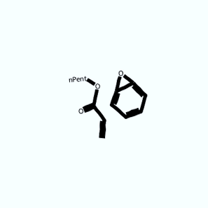 C=CC(=O)OCCCCC.c1ccc2c(c1)O2